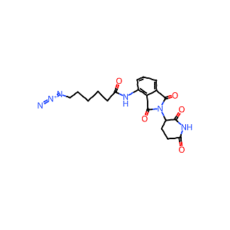 [N-]=[N+]=NCCCCCC(=O)Nc1cccc2c1C(=O)N(C1CCC(=O)NC1=O)C2=O